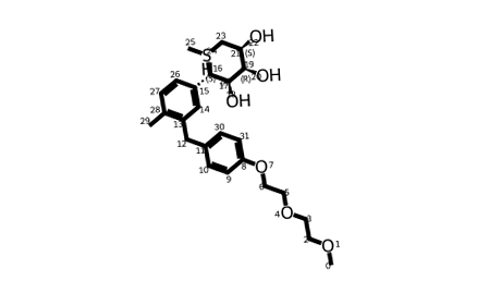 COCCOCCOc1ccc(Cc2cc([C@H]3[C@H](O)[C@H](O)[C@H](O)C[SH]3C)ccc2C)cc1